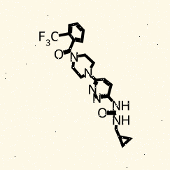 O=C(NCC1CC1)Nc1ccc(N2CCN(C(=O)c3ccccc3C(F)(F)F)CC2)nn1